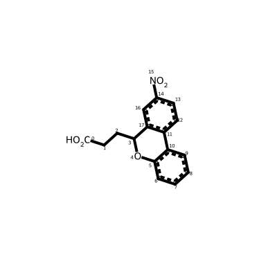 O=C(O)CCC1Oc2ccccc2-c2ccc([N+](=O)[O-])cc21